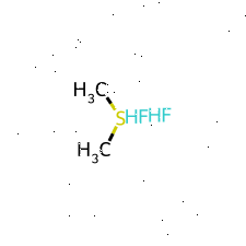 CSC.F.F